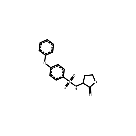 O=C1OCCC1NS(=O)(=O)c1ccc(Oc2ccccc2)cc1